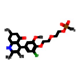 CCCC1CC(=O)C2=C(C1)NC(C)=C(C#N)C2c1cc(Br)c(OCCOCCOS(C)(=O)=O)c(OCC)c1